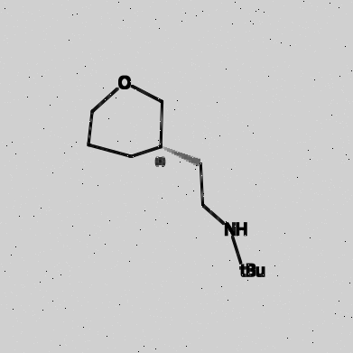 CC(C)(C)NCC[C@@H]1CCCOC1